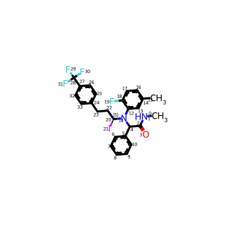 CNC(=O)C(c1ccccc1)N(c1cc(C)ccc1F)[C@@H](I)CCc1ccc(C(F)(F)F)cc1